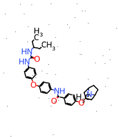 CCC(CC)NC(=O)Nc1ccc(Oc2ccc(NC(=O)c3ccc(OC4CC5CCC(C4)N5C)cc3)cc2)cc1